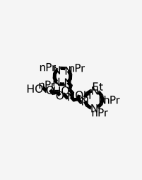 CCCN1CCN(CC)CCCN(CC(O)CN(CCOCCOCCO)CC(O)CN2CCN(CCC)CCN(CCC)CCN(CCC)CC2)CCN(CCC)CC1